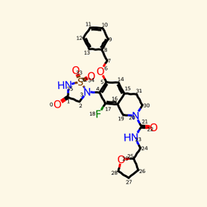 O=C1CN(c2c(OCc3ccccc3)cc3c(c2F)CN(C(=O)NCC2CCCO2)CC3)S(=O)(=O)N1